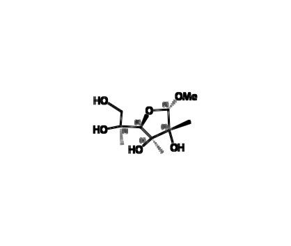 CO[C@H]1O[C@H]([C@@](C)(O)CO)[C@](C)(O)[C@@]1(C)O